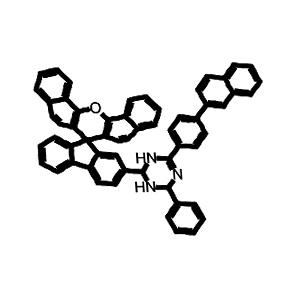 c1ccc(C2N=C(c3ccc(-c4ccc5ccccc5c4)cc3)NC(c3ccc4c(c3)C3(c5ccccc5-4)c4ccc5ccccc5c4Oc4c3ccc3ccccc43)N2)cc1